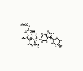 COCC(=O)NC(COC)(COc1ccc2c(cnn2-c2ccc(F)cc2)c1)c1cccc(F)c1